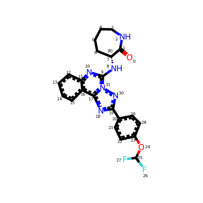 O=C1NCCCC[C@H]1Nc1nc2ccccc2c2nc(-c3ccc(OC(F)F)cc3)nn12